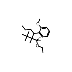 CCCC(c1ccccc1OC)C(C)(C(=O)OCC)C(C)(C)C